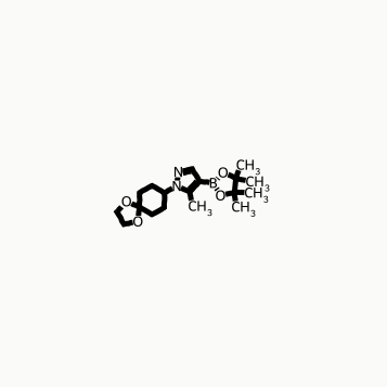 Cc1c(B2OC(C)(C)C(C)(C)O2)cnn1C1CCC2(CC1)OCCO2